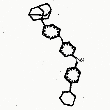 c1cc(-c2ccc(C34CC5CC(CC(C5)C3)C4)cc2)ccc1Nc1ccc(C2CCCCC2)cc1